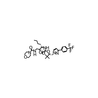 CCCC[C@H](NC(=O)O[C@H](Cn1ccc(-c2ccc(C(F)(F)F)cc2)n1)C(C)(C)C)[C@@H](O)CNC(=O)N1CCOCC1